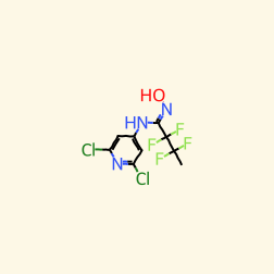 CC(F)(F)C(F)(F)/C(=N/O)Nc1cc(Cl)nc(Cl)c1